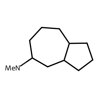 CNC1CCCC2CCCC2C1